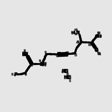 Cl.Cl.N=C(CF)NCC#CCC(N)C(=O)O